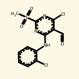 CS(=O)(=O)c1nc(Cl)c(C=O)c(Nc2ccccc2Cl)n1